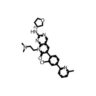 Cc1cccc(-c2ccc(-c3cc4cnc(N[C@@H]5CCOC5)nc4n(CCN(C)C)c3=O)c(Cl)c2)n1